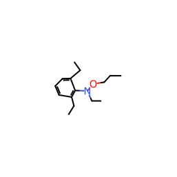 CCCON(CC)c1c(CC)cccc1CC